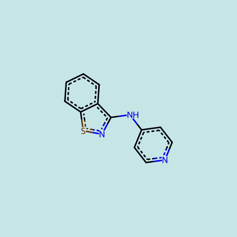 c1ccc2c(Nc3ccncc3)nsc2c1